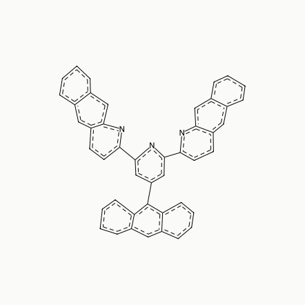 c1ccc2cc3nc(-c4cc(-c5c6ccccc6cc6ccccc56)cc(-c5ccc6cc7ccccc7cc6n5)n4)ccc3cc2c1